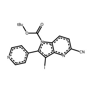 CC(C)(C)OC(=O)n1c(-c2ccncc2)c(I)c2nc(C#N)ccc21